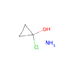 N.OC1(Cl)CC1